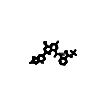 Cc1cc(C(C)Nc2ccccc2C(=O)OC(C)(C)C)c2oc(-c3cnc4cn(C)nc4c3)cc(=O)c2c1